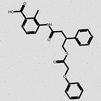 Cc1c(NC(=O)CC(CSC(=O)COc2ccccc2)c2ccccc2)cccc1C(=O)O